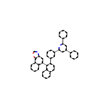 c1ccc(-c2cc(-c3ccccc3)nc(-c3cccc(-c4ccc5ccccc5c4-c4cc5ncoc5c5ccccc45)c3)c2)cc1